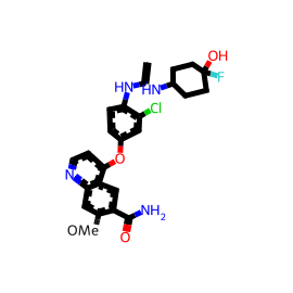 C=C(Nc1ccc(Oc2ccnc3cc(OC)c(C(N)=O)cc23)cc1Cl)NC1CCC(O)(F)CC1